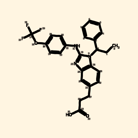 CCC(c1ccccc1)n1c(Nc2ccc(OC(F)(F)F)cc2)nc2cc(CCC(=O)O)ccc21